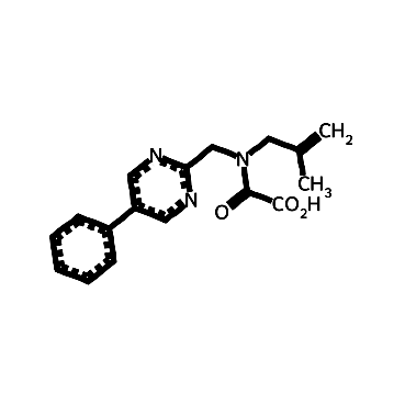 C=C(C)CN(Cc1ncc(-c2ccccc2)cn1)C(=O)C(=O)O